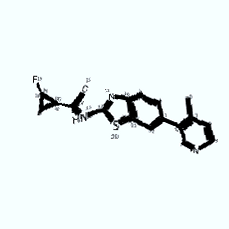 Cc1ccncc1-c1ccc2nc(NC(=O)[C@H]3C[C@H]3F)sc2c1